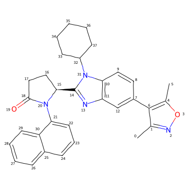 Cc1noc(C)c1-c1ccc2c(c1)nc([C@@H]1CCC(=O)N1c1cccc3ccccc13)n2C1CCCCC1